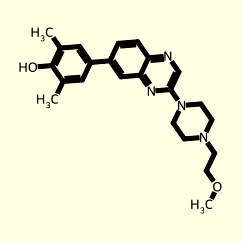 COCCN1CCN(c2cnc3ccc(-c4cc(C)c(O)c(C)c4)cc3n2)CC1